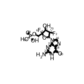 C[C@@]1(F)C(O)[C@@](F)(COP(=O)(O)O)O[C@H]1n1cnc2c(=O)[nH]c(N)nc21